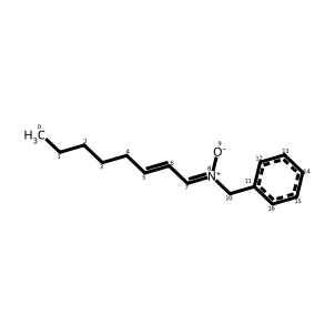 CCCCC/C=C/C=[N+](\[O-])Cc1ccccc1